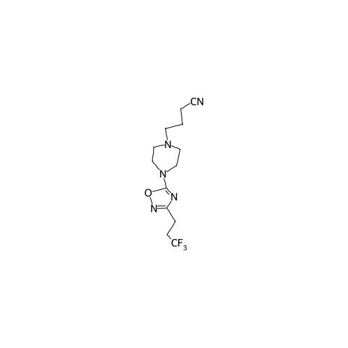 N#CCCCN1CCN(c2nc(CCC(F)(F)F)no2)CC1